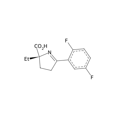 CC[C@]1(C(=O)O)CCC(c2cc(F)ccc2F)=N1